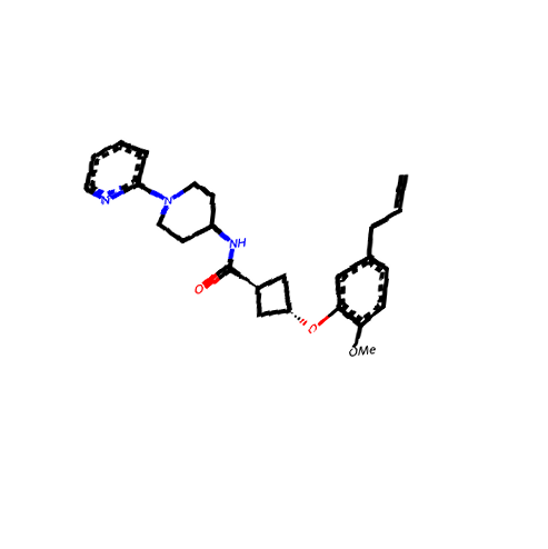 C=CCc1ccc(OC)c(O[C@H]2C[C@H](C(=O)NC3CCN(c4ccccn4)CC3)C2)c1